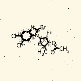 CC(=O)O[C@H]1[C@@H](F)[C@H](n2c(Br)nc3cc(Cl)c(Cl)cc32)O[C@@H]1C